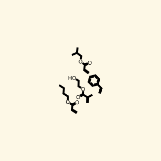 C=C(C)C(=O)OCCO.C=CC(=O)OCC(C)C.C=CC(=O)OCCCC.C=Cc1ccccc1